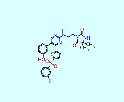 CC1(C)NC(=O)N(CCNc2ncc(-c3cccc(O)c3)c(-c3ccc(S(=O)(=O)c4cccc(F)c4)s3)n2)C1=O